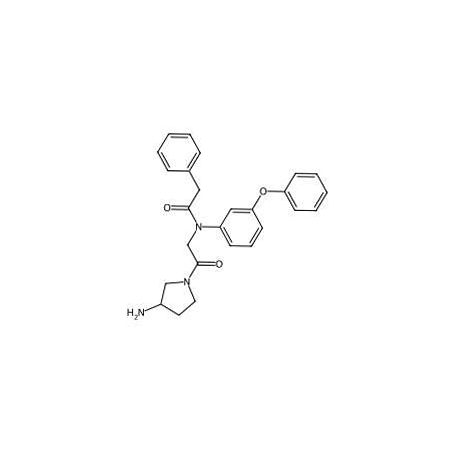 NC1CCN(C(=O)CN(C(=O)Cc2ccccc2)c2cccc(Oc3ccccc3)c2)C1